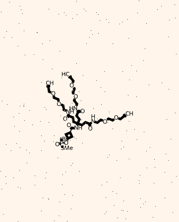 C#CCOCCOCCNC(=O)CCC(CCC(=O)NCCOCCOCC#C)(CCC(=O)NCCOCCOCC#C)NC(=O)[C@H]1C[C@H](OP(=O)(SC)C(C)(C)C)C1